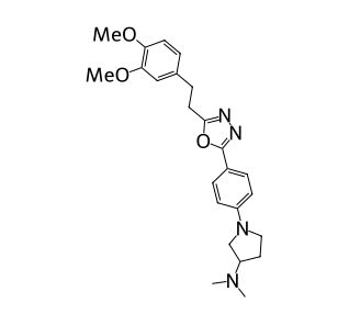 COc1ccc(CCc2nnc(-c3ccc(N4CCC(N(C)C)C4)cc3)o2)cc1OC